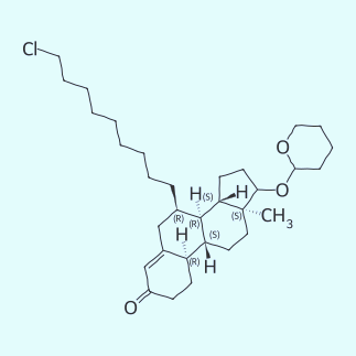 C[C@]12CC[C@H]3[C@@H]([C@H](CCCCCCCCCCl)CC4=CC(=O)CC[C@@H]43)[C@@H]1CCC2OC1CCCCO1